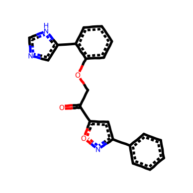 O=C(COc1ccccc1-c1cnc[nH]1)c1cc(-c2ccccc2)no1